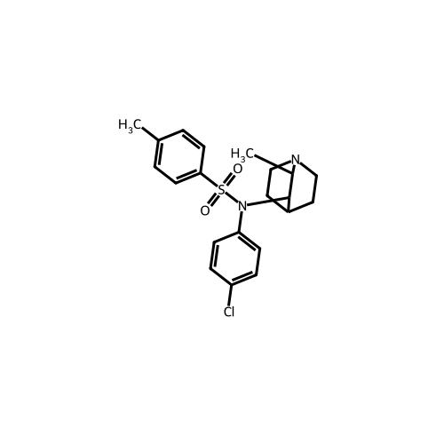 Cc1ccc(S(=O)(=O)N(c2ccc(Cl)cc2)C2C3CCN(CC3)C2C)cc1